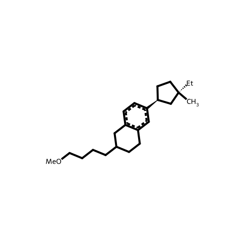 CC[C@@]1(C)CC[C@H](c2ccc3c(c2)CCC(CCCCOC)C3)C1